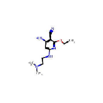 CCOc1nc(NCCN(C)C)cc(N)c1C#N